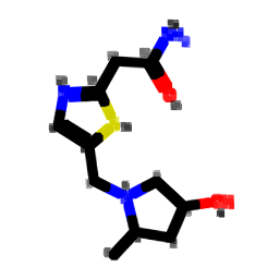 CC1CC(O)CN1Cc1cnc(CC(N)=O)s1